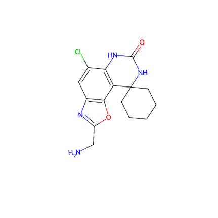 NCc1nc2cc(Cl)c3c(c2o1)C1(CCCCC1)NC(=O)N3